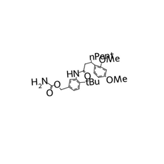 CCCCCC(CC(=O)Nc1cc(COC(N)=O)ccc1C(C)(C)C)c1ccc(OC)cc1OC